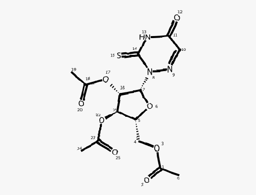 CC(=O)OC[C@H]1O[C@@H](n2ncc(=O)[nH]c2=S)[C@@H](OC(C)=O)[C@@H]1OC(C)=O